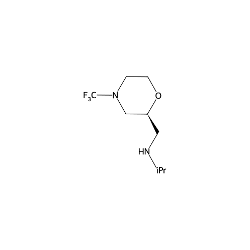 CC(C)NC[C@H]1CN(C(F)(F)F)CCO1